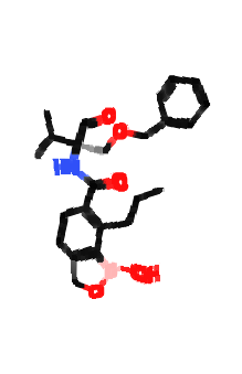 CCCc1c(C(=O)N[C@@](C=O)(COCc2ccccc2)C(C)C)ccc2c1B(O)OC2